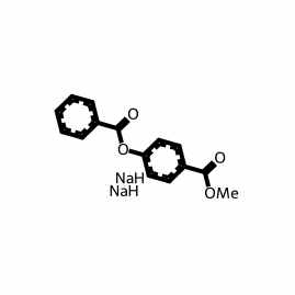 COC(=O)c1ccc(OC(=O)c2ccccc2)cc1.[NaH].[NaH]